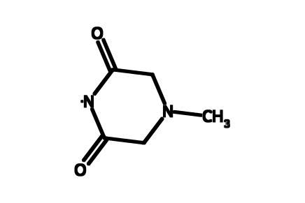 CN1CC(=O)[N]C(=O)C1